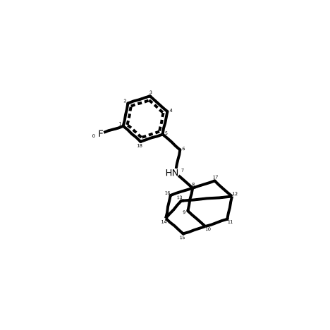 Fc1cccc(CNC23CC4CC(CC(C4)C2)C3)c1